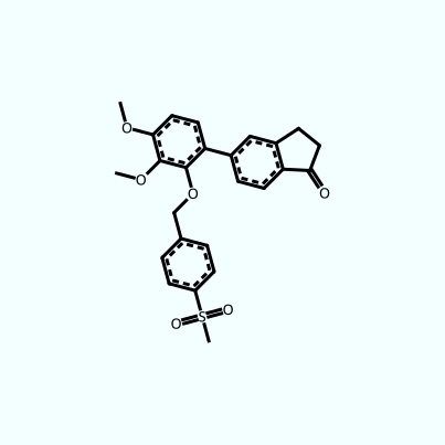 COc1ccc(-c2ccc3c(c2)CCC3=O)c(OCc2ccc(S(C)(=O)=O)cc2)c1OC